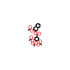 CC(=O)Oc1cc(C(=O)O[C@H]2Cc3ccccc3C[C@H]2OC(C)=O)cc(OC(C)=O)c1OC(C)=O